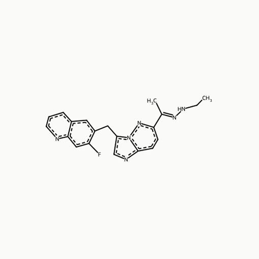 CCN/N=C(\C)c1ccc2ncc(Cc3cc4cccnc4cc3F)n2n1